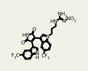 NC(=N[N+](=O)[O-])NCCCn1cc(C2=C(c3c[nH]c4ccc(C(F)(F)F)cc34)C(=O)NC2=O)c2cc(C(F)(F)F)ccc21